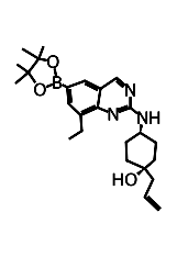 C=CC[C@]1(O)CC[C@@H](Nc2ncc3cc(B4OC(C)(C)C(C)(C)O4)cc(CC)c3n2)CC1